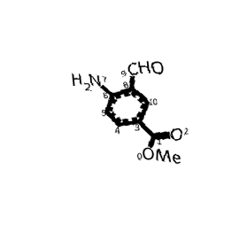 COC(=O)c1ccc(N)c(C=O)c1